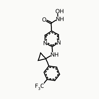 O=C(NO)c1cnc(NC2(c3cccc(C(F)(F)F)c3)CC2)nc1